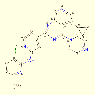 COc1ccc(F)c(Nc2cc(-c3nc(N4CCNCC4)c4c(C5CC5)cncc4n3)ccn2)n1